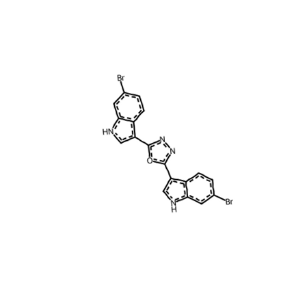 Brc1ccc2c(-c3nnc(-c4c[nH]c5cc(Br)ccc45)o3)c[nH]c2c1